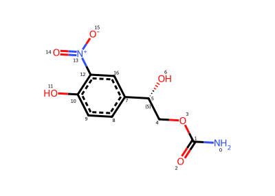 NC(=O)OC[C@@H](O)c1ccc(O)c([N+](=O)[O-])c1